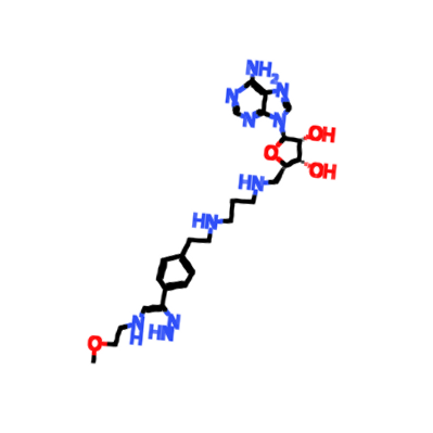 COCCN/C=C(\N=N)c1ccc(CCNCCCNC[C@H]2O[C@@H](n3cnc4c(N)ncnc43)[C@H](O)[C@@H]2O)cc1